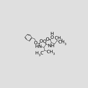 CC(C)CC(NC(=O)C(NC(=O)OCc1ccccc1)C(C)C)C(=O)O